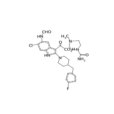 CN1CCN(C(N)=O)CC1.O=CNc1cc2c(C(=O)C(=O)O)c(N3CCC(Cc4ccc(F)cc4)CC3)[nH]c2cc1Cl